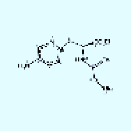 CCOC(=O)[C@H](Cc1ccc(N)cn1)NC(=O)OC(C)(C)C